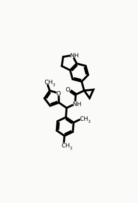 Cc1ccc(C(NC(=O)C2(c3ccc4c(c3)CCN4)CC2)c2ccc(C)o2)c(C)c1